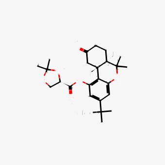 CCCCCCC(C)(C)c1cc(OC(=O)[C@H]2COC(C)(C)O2)c2c(c1)OC(C)(C)[C@@H]1CCC(=O)C[C@@H]21